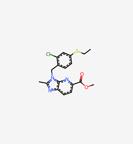 CCSc1ccc(Cn2c(C)nc3ccc(C(=O)OC)nc32)c(Cl)c1